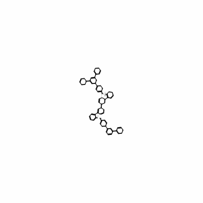 C1=CC(C2=CC(C3CC=CCC3)=CC(C3=CC=C(N4C5=C(C=CCC5)C5CC(C6C=c7c(n(C8=CCC(c9cccc(C%10=CCCC=C%10)c9)C=C8)c8ccccc78)=CC6)C=CC54)CC3)C2)=CCC1